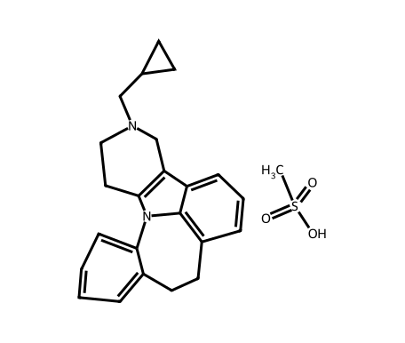 CS(=O)(=O)O.c1ccc2c(c1)CCc1cccc3c4c(n-2c13)CCN(CC1CC1)C4